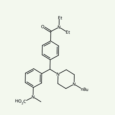 CCCCN1CCN(C(c2ccc(C(=O)N(CC)CC)cc2)c2cccc(N(C)C(=O)O)c2)CC1